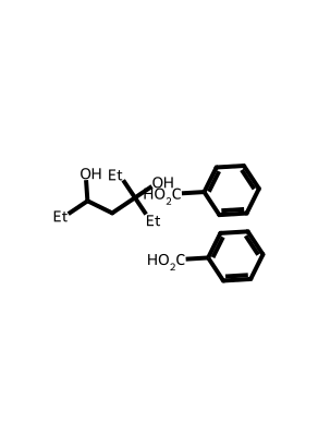 CCC(O)CC(O)(CC)CC.O=C(O)c1ccccc1.O=C(O)c1ccccc1